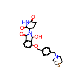 O=C1CCC(N2C(=O)c3cccc(OCc4ccc(CN5CCSCC5)cc4)c3C2O)C(=O)N1